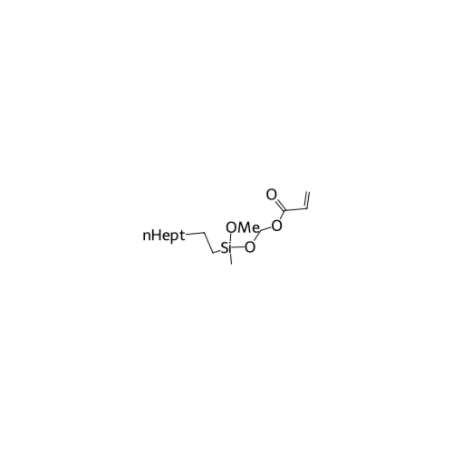 C=CC(=O)OCO[Si](C)(CCCCCCCCC)OC